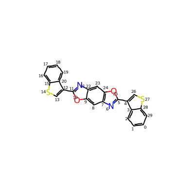 c1ccc2c(-c3nc4cc5oc(-c6csc7ccccc67)nc5cc4o3)csc2c1